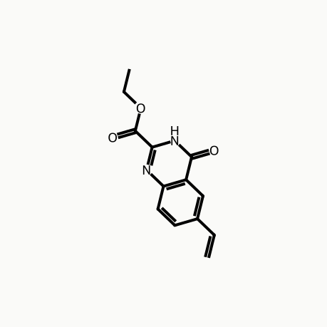 C=Cc1ccc2nc(C(=O)OCC)[nH]c(=O)c2c1